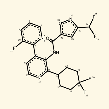 O=C(Nc1c(-c2ncccc2F)ccnc1C1CCC(F)(F)CC1)c1cc(C(F)F)no1